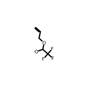 C=CCOC([O])C(F)(F)F